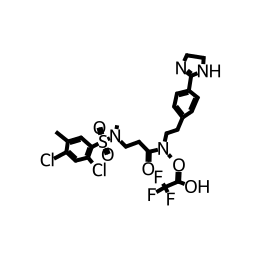 Cc1cc(S(=O)(=O)N(C)CCC(=O)N(C)CCc2ccc(C3=NCCN3)cc2)c(Cl)cc1Cl.O=C(O)C(F)(F)F